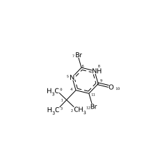 CC(C)(C)c1nc(Br)[nH]c(=O)c1Br